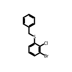 Clc1c(Br)cccc1SCc1ccccc1